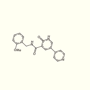 COc1ccccc1CNC(=O)c1cc(-c2ccncc2)c[nH]c1=O